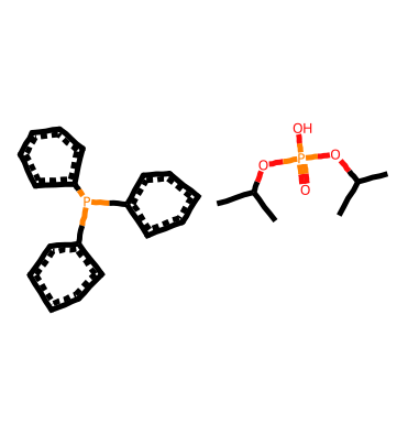 CC(C)OP(=O)(O)OC(C)C.c1ccc(P(c2ccccc2)c2ccccc2)cc1